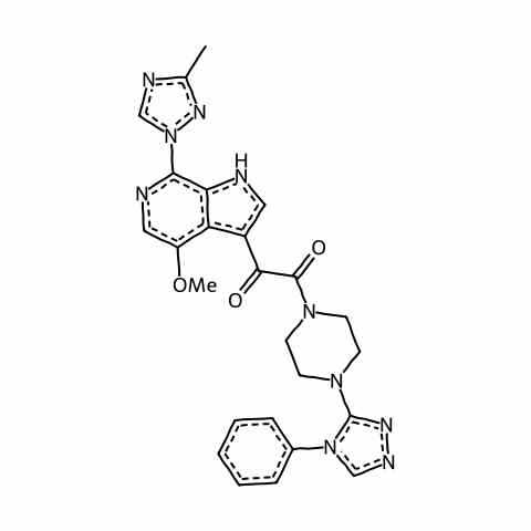 COc1cnc(-n2cnc(C)n2)c2[nH]cc(C(=O)C(=O)N3CCN(c4nncn4-c4ccccc4)CC3)c12